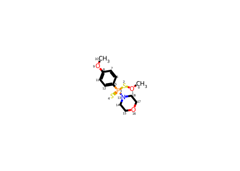 COSP(=S)(c1ccc(OC)cc1)N1CCOCC1